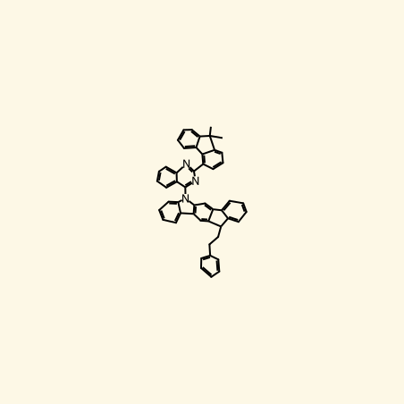 CC1(C)c2ccccc2-c2c(-c3nc(-n4c5ccccc5c5cc6c(cc54)-c4ccccc4C6CCc4ccccc4)c4ccccc4n3)cccc21